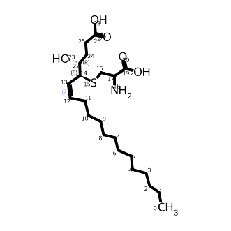 CCCCCCCCCCCC/C=C\[C@H](SCC(N)C(=O)O)[C@H](O)CCC(=O)O